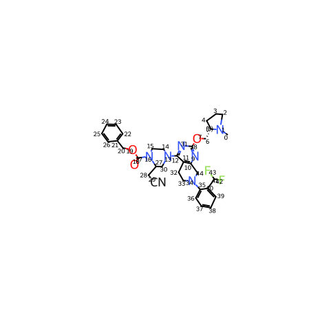 CN1CCC[C@H]1COc1nc2c(c(N3CCN(C(=O)OCc4ccccc4)C(CC#N)C3)n1)CCN(c1ccccc1C(F)F)C2